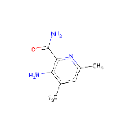 Cc1cc(C(F)(F)F)c(N)c(C(N)=O)n1